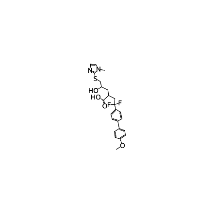 COc1ccc(-c2ccc(C(F)(F)CC(CC(O)CSc3nccn3C)C(=O)O)cc2)cc1